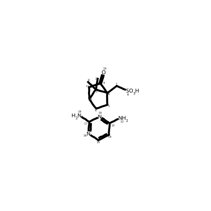 CC1(C)C2CCC1(CS(=O)(=O)O)C(=O)C2.Nc1ccnc(N)n1